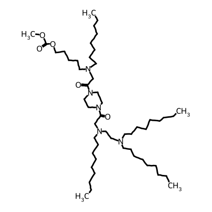 CCCCCCCCCN(CCCCCCCCC)CCN(CCCCCCCCC)CC(=O)N1CCN(C(=O)CN(CCCCCCCC)CCCCCOC(=O)OC)CC1